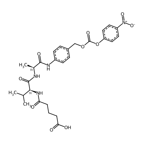 CC(C)[C@H](NC(=O)CCCC(=O)O)C(=O)N[C@@H](C)C(=O)Nc1ccc(COC(=O)Oc2ccc([N+](=O)[O-])cc2)cc1